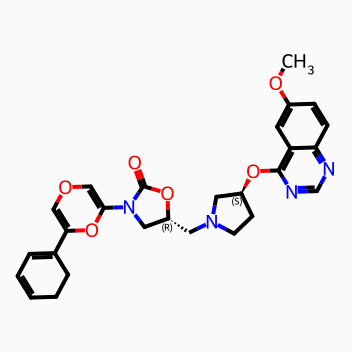 COc1ccc2ncnc(O[C@H]3CCN(C[C@@H]4CN(C5=COC=C(C6=CC=CCC6)O5)C(=O)O4)C3)c2c1